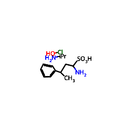 CC(C)N.CC(CC(N)S(=O)(=O)O)c1ccccc1.OCl